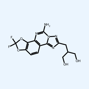 Nc1nc2c3c(ccc2c2nc(CC(CO)CO)nn12)OC(F)(F)O3